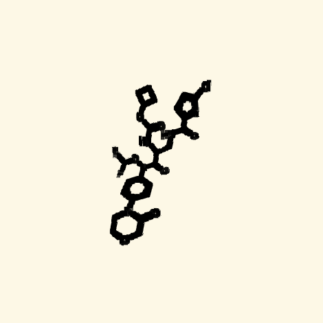 O=C(N[C@@H](CNC(=O)c1ccc(Cl)s1)C(=O)N(OC(F)F)c1ccc(N2CCOCC2=O)cc1)OC1CCC1